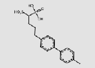 Cc1ccc(-c2ccc(CCCC(P(=O)(O)O)S(=O)(=O)O)cc2)cc1